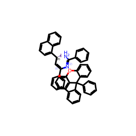 N/C(=N\C(=C/[C@@H](I)c1cccc2ccccc12)c1cccc(-c2ccccc2C2(c3ccccc3)c3ccccc3Oc3ccccc32)c1)c1ccccc1